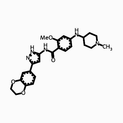 COc1cc(NC2CCN(C)CC2)ccc1C(=O)Nc1cc(-c2ccc3c(c2)OCCO3)n[nH]1